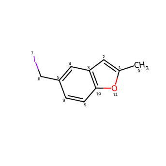 Cc1cc2cc(CI)ccc2o1